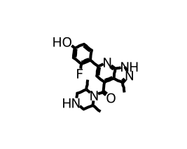 Cc1n[nH]c2nc(-c3ccc(O)cc3F)cc(C(=O)N3C(C)CNCC3C)c12